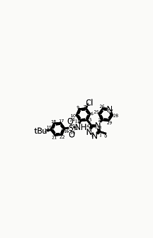 Cc1nnc(-c2cc(Cl)ccc2NS(=O)(=O)c2ccc(C(C)(C)C)cc2)n1-c1ccncc1